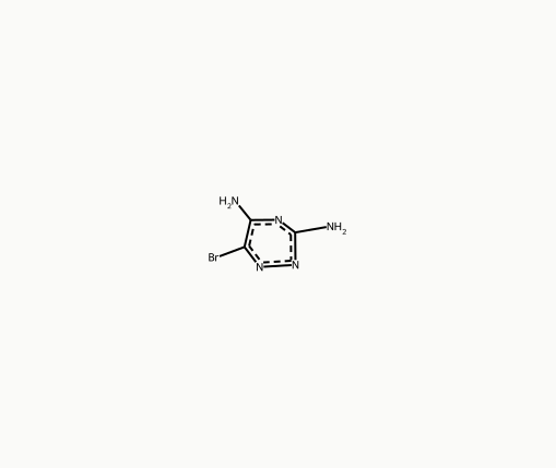 Nc1nnc(Br)c(N)n1